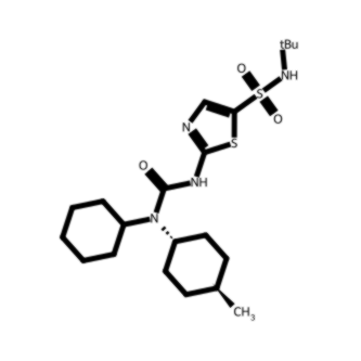 CC(C)(C)NS(=O)(=O)c1cnc(NC(=O)N(C2CCCCC2)[C@H]2CC[C@H](C)CC2)s1